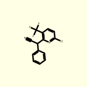 N#CC(c1ccccc1)c1nc(Cl)ccc1C(F)(F)F